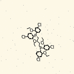 CCOc1cc(Cl)ccc1P(CCCCP(c1ccc(Cl)cc1OCC)c1ccc(Cl)cc1OCC)c1ccc(Cl)cc1OCC